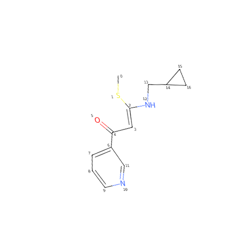 CS/C(=C\C(=O)c1cccnc1)NCC1CC1